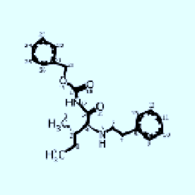 CC[C@H](C)[C@H](NCCc1ccccc1)C(=O)NC(=O)OCc1ccccc1